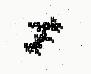 COC(=O)c1ccc(C(C)(C)C)cc1OCC(C)(C)CNC(=O)OC(C)(C)C